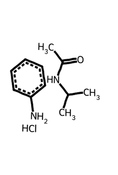 CC(=O)NC(C)C.Cl.Nc1ccccc1